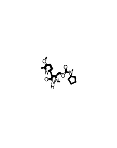 COc1ccc(-c2c(COC(=O)N(C)C3CCCC3)n(C)[nH]c2=O)nc1C